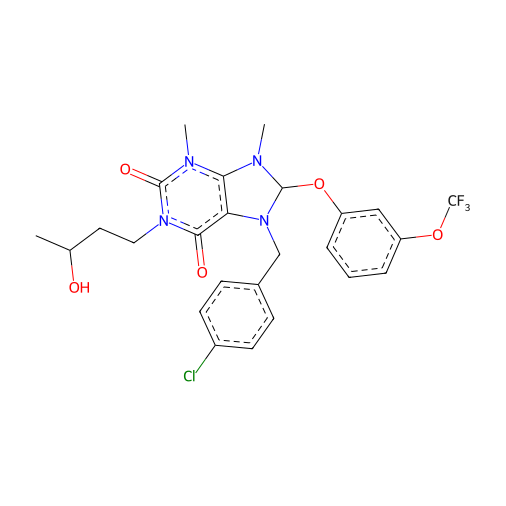 CC(O)CCn1c(=O)c2c(n(C)c1=O)N(C)C(Oc1cccc(OC(F)(F)F)c1)N2Cc1ccc(Cl)cc1